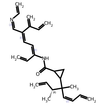 C=C/C=C\C(C)(C1CC1C(=O)N/C(C=C)=C/C=C(/C=N\C=C)C(=C)C=C)[C@H](C)C=C